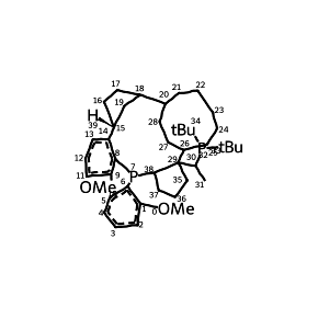 COc1ccccc1P1c2c(OC)cccc2[C@@H]2CCC(C2)C2CCCCCC(CC2)C2(C(C)P(C(C)(C)C)C(C)(C)C)CCCC12